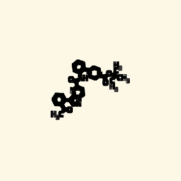 CC(=O)c1ccccc1-c1cnn2ccc(C(=O)Nc3ccccc3N3CCN(C(=O)OC(C)(C)C)CC3)nc12